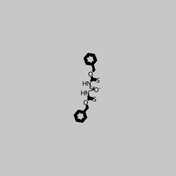 [O-][S+](NC(=S)OCc1ccccc1)NC(=S)OCc1ccccc1